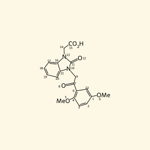 COc1ccc(OC)c(C(=O)Cn2c(=O)n(CC(=O)O)c3ccccc32)c1